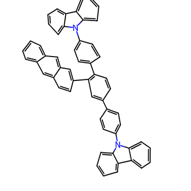 c1ccc2cc3cc(-c4cc(-c5ccc(-n6c7ccccc7c7ccccc76)cc5)ccc4-c4ccc(-n5c6ccccc6c6ccccc65)cc4)ccc3cc2c1